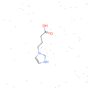 O=C(O)CCCN1C=CNC1